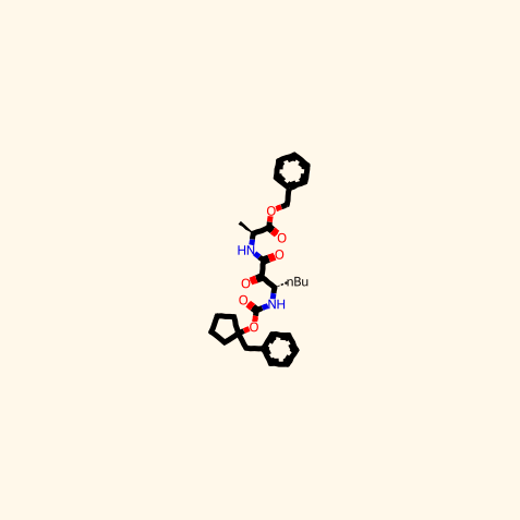 CCCC[C@H](NC(=O)OC1(Cc2ccccc2)CCCC1)C(=O)C(=O)N[C@@H](C)C(=O)OCc1ccccc1